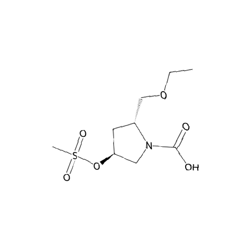 CCOC[C@H]1C[C@H](OS(C)(=O)=O)CN1C(=O)O